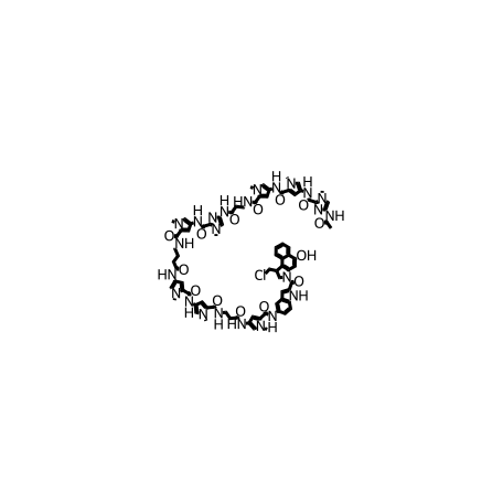 CC(=O)Nc1cn(C)c(C(=O)Nc2cc(C(=O)Nc3cc(C(=O)NCCC(=O)Nc4cn(C)c(C(=O)Nc5cc(C(=O)NCCCC(=O)Nc6cc(C(=O)Nc7cc(C(=O)NCCC(=O)Nc8cc(C(=O)Nc9ccc%10[nH]c(C(=O)N%11CC(CCl)c%12c%11cc(O)c%11ccccc%12%11)cc%10c9)n(C)c8)n(C)c7)n(C)c6)n(C)c5)n4)n(C)c3)n(C)c2)n1